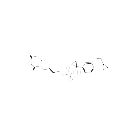 O=C1CCN(C/C=C/CCS(=O)(=O)NC2(c3cccc(OCC4CC4)c3)CC2)C(=O)N1